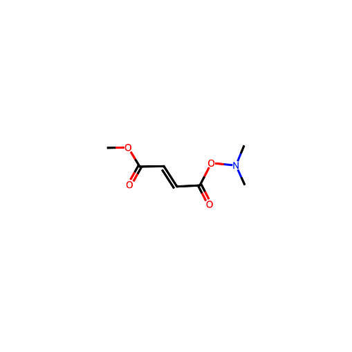 COC(=O)/C=C/C(=O)ON(C)C